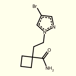 NC(=O)C1(CCn2cc(Br)cn2)CCC1